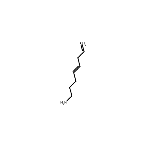 C=CC/C=C/CCCN